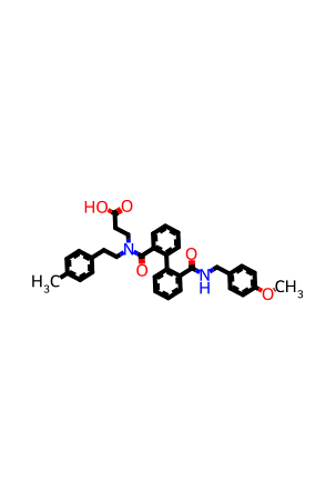 COc1ccc(CNC(=O)c2ccccc2-c2ccccc2C(=O)N(CCC(=O)O)CCc2ccc(C)cc2)cc1